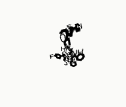 C[C@H](NN1CCC2(CC1)OCCc1sc(-c3ccncc3)cc12)C(=O)N[C@H](C(=O)N1CCCC[C@@H]1c1nc(C(=O)c2ccc(F)cc2)cs1)C1CCCCC1